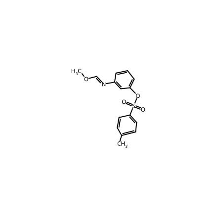 COC=Nc1cccc(OS(=O)(=O)c2ccc(C)cc2)c1